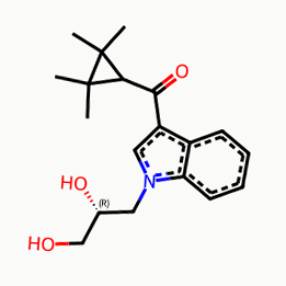 CC1(C)C(C(=O)c2cn(C[C@@H](O)CO)c3ccccc23)C1(C)C